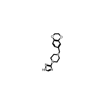 c1nc(N2CCN(Cc3ccc4c(c3)OCCO4)CC2)n[nH]1